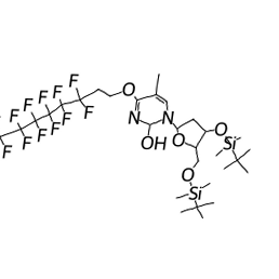 CC1=CN(C2CC(O[Si](C)(C)C(C)(C)C)C(CO[Si](C)(C)C(C)(C)C)O2)C(O)N=C1OCCC(F)(F)C(F)(F)C(F)(F)C(F)(F)C(F)(F)C(F)(F)F